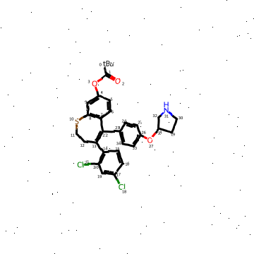 CC(C)(C)C(=O)Oc1ccc2c(c1)SCCC(c1ccc(Cl)cc1Cl)=C2c1ccc(OC2CCNC2)cc1